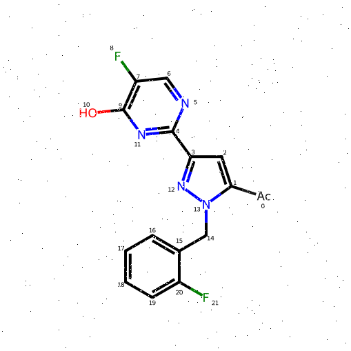 CC(=O)c1cc(-c2ncc(F)c(O)n2)nn1Cc1ccccc1F